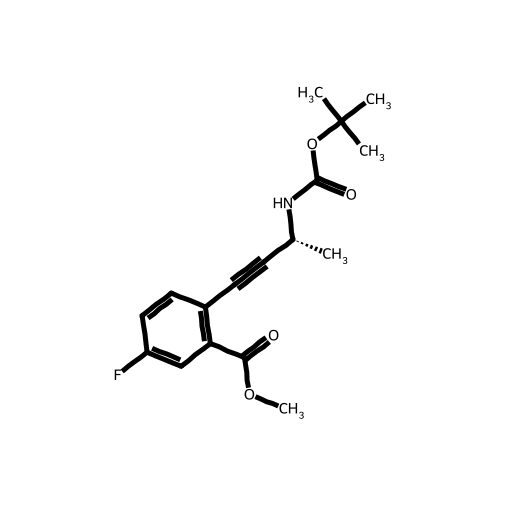 COC(=O)c1cc(F)ccc1C#C[C@@H](C)NC(=O)OC(C)(C)C